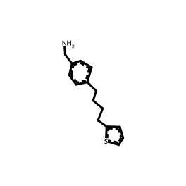 NCc1ccc(CCCCc2cccs2)cc1